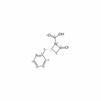 O=C(O)N1C(=O)C[C@@H]1Cc1ccccc1